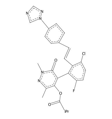 Cc1nn(C)c(=O)c(-c2c(F)ccc(Cl)c2/C=C/c2ccc(-n3cncn3)cc2)c1OC(=O)C(C)C